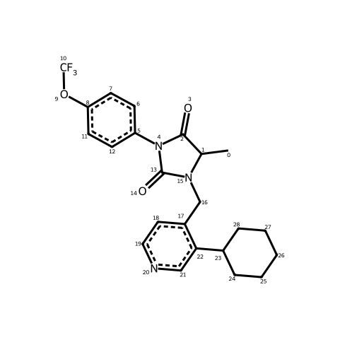 CC1C(=O)N(c2ccc(OC(F)(F)F)cc2)C(=O)N1Cc1ccncc1C1CCCCC1